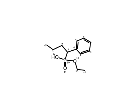 CCCC(c1ccccc1)P(=O)(O)OCC